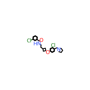 O=C(NCCC1CC(Oc2ccc(CN3CCCC3)c(Cl)c2)C1)c1cccc(Cl)c1